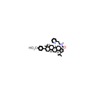 C=C(C)[C@@H]1CC[C@]2(C(=O)N(C)CCc3ccccn3)CC[C@]3(C)[C@H](CC[C@@H]4[C@@]5(C)CC=C(c6ccc(C(=O)O)cc6)C(C)(C)[C@@H]5CC[C@]43C)[C@@H]12